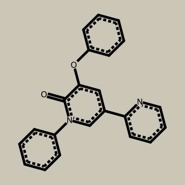 O=c1c(Oc2ccccc2)cc(-c2ccccn2)cn1-c1ccccc1